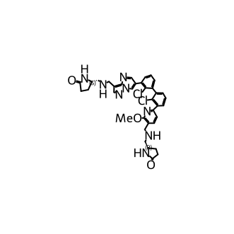 COc1nc(-c2cccc(-c3cccc(-c4cnc5c(CNC[C@@H]6CCC(=O)N6)cnn5c4)c3Cl)c2Cl)ccc1CNC[C@H]1CCC(=O)N1